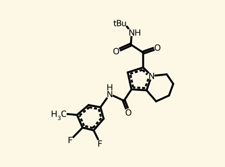 Cc1cc(NC(=O)c2cc(C(=O)C(=O)NC(C)(C)C)n3c2CCCC3)cc(F)c1F